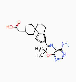 CC1(C)Oc2ncnc(N)c2N=C1c1ccc2c(c1)CCCC21CCC(CC(=O)O)CC1